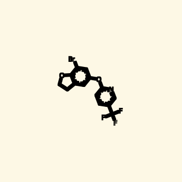 FC(F)(F)c1ccc(Oc2cc(Br)c3c(c2)CCO3)nc1